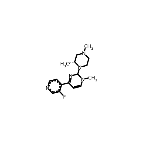 C[C@@H]1CN(C)CCN1C1N=C(c2ccncc2F)C=CN1C